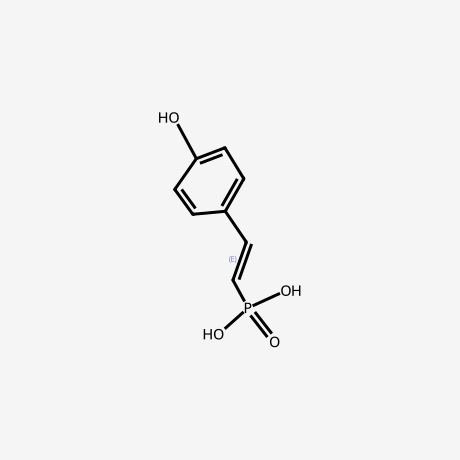 O=P(O)(O)/C=C/c1ccc(O)cc1